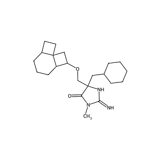 CN1C(=N)NC(COC2CC34CCC3CCCC24)(CC2CCCCC2)C1=O